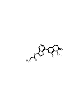 CCC(=O)NC1CCc2c(-c3cc(Cl)c4c(c3)CCC(=O)N4C)cncc21